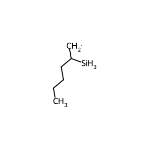 [CH2]C([SiH3])CCCC